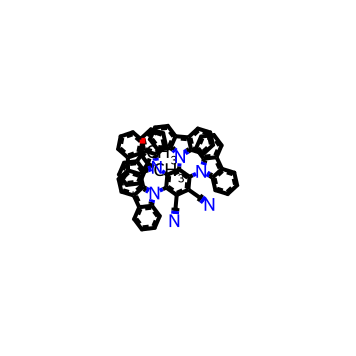 CC1(C)c2ccccc2-c2ccc3c4ccccc4n(-c4c(C#N)c(C#N)c(-n5c6ccccc6c6ccccc65)c(-n5c6ccccc6c6ccccc65)c4-n4c5ccccc5c5ccccc54)c3c21